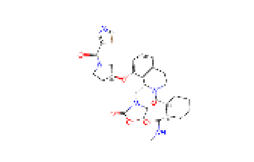 CNC(=O)[C@H]1CCCC[C@H]1C(=O)N1CCc2cccc(O[C@H]3CCN(C(=O)c4cncs4)C3)c2C1CN1CCOC1=O